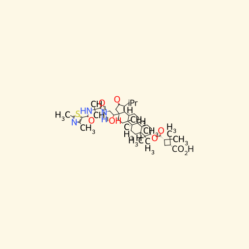 Cc1nc(C)c(C(=O)NC(C)(C)C(=O)NC[C@H](O)[C@@]23CC[C@]4(C)[C@H](CC[C@@H]5[C@@]6(C)CC[C@H](OC(=O)[C@H]7C[C@@H](C(=O)O)C7(C)C)C(C)(C)[C@@H]6CC[C@]54C)C2=C(C(C)C)C(=O)C3)s1